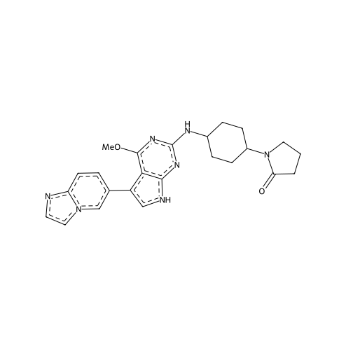 COc1nc(NC2CCC(N3CCCC3=O)CC2)nc2[nH]cc(-c3ccc4nccn4c3)c12